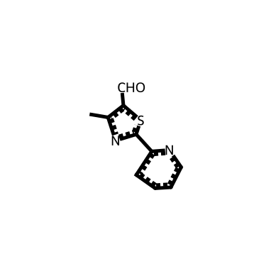 Cc1nc(-c2ccccn2)sc1C=O